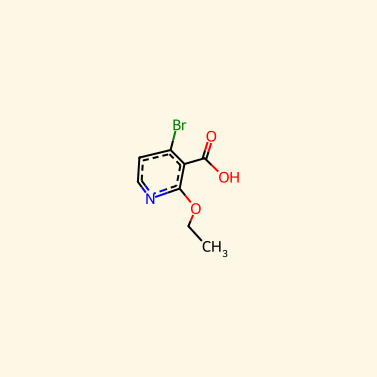 CCOc1nccc(Br)c1C(=O)O